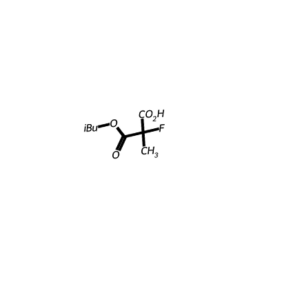 CCC(C)OC(=O)C(C)(F)C(=O)O